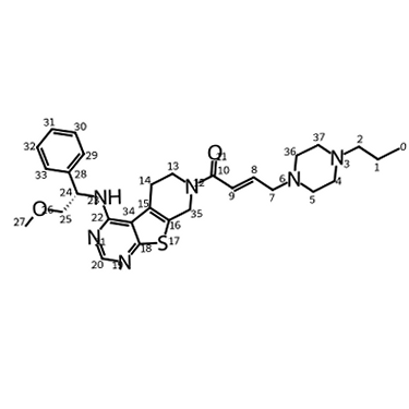 CCCN1CCN(C/C=C/C(=O)N2CCc3c(sc4ncnc(N[C@H](COC)c5ccccc5)c34)C2)CC1